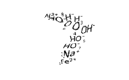 [Al+3].[Fe+2].[Na+].[OH-].[OH-].[OH-].[OH-].[OH-].[OH-]